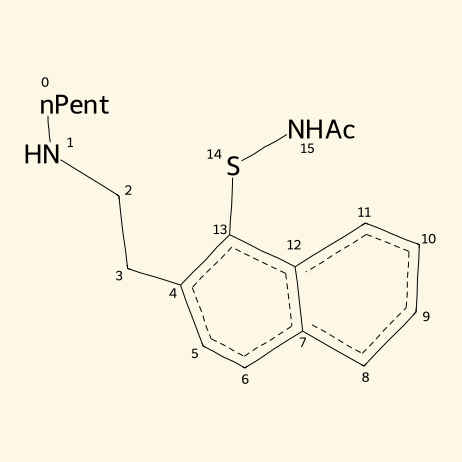 CCCCCNCCc1ccc2ccccc2c1SNC(C)=O